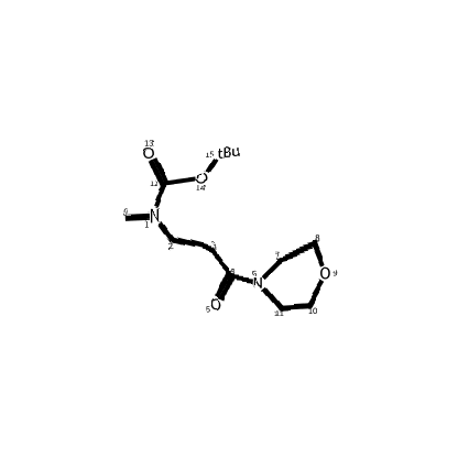 CN(CCC(=O)N1CCOCC1)C(=O)OC(C)(C)C